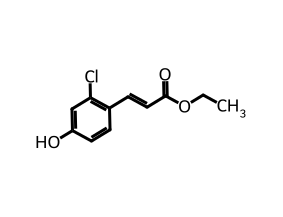 CCOC(=O)C=Cc1ccc(O)cc1Cl